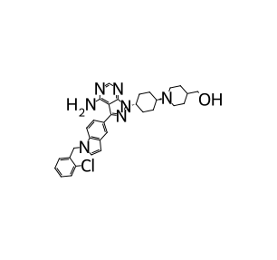 Nc1ncnc2c1c(-c1ccc3c(ccn3Cc3ccccc3Cl)c1)nn2[C@H]1CC[C@H](N2CCC(CO)CC2)CC1